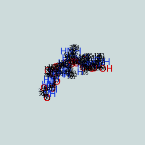 CC(C)CC(NC(=O)C(C)NC(=O)CNC(=O)C(NC=O)C(C)C)C(=O)NC(C)C(=O)NC(C(=O)NC(C(=O)NC(C(=O)NC(Cc1c[nH]c2ccccc12)C(=O)NC(CC(C)C)C(=O)NC(Cc1c[nH]c2ccccc12)C(=O)NC(CC(C)C)C(=O)NC(Cc1c[nH]c2ccccc12)C(=O)NC(CC(C)C)C(=O)NC(Cc1c[nH]c2ccccc12)C(=O)NCCO)C(C)C)C(C)C)C(C)C